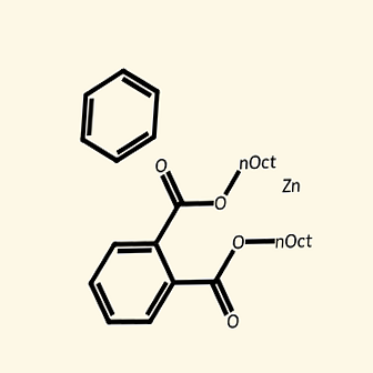 CCCCCCCCOC(=O)c1ccccc1C(=O)OCCCCCCCC.[Zn].c1ccccc1